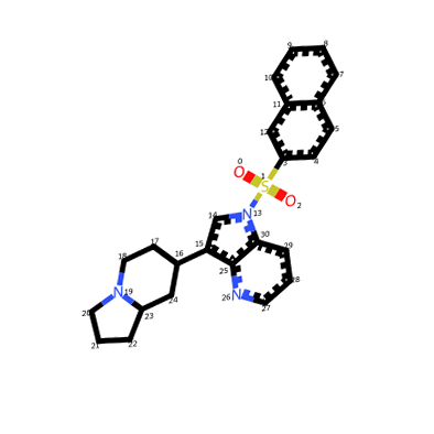 O=S(=O)(c1ccc2ccccc2c1)n1cc(C2CCN3CCCC3C2)c2ncccc21